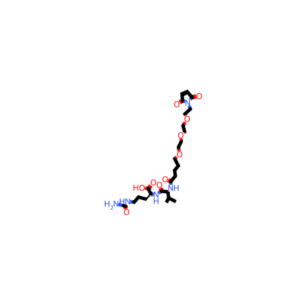 CC(C)C(NC(=O)CCCCOCCOCCOCCN1C(=O)C=CC1=O)C(=O)N[C@@H](CCCNC(N)=O)C(=O)O